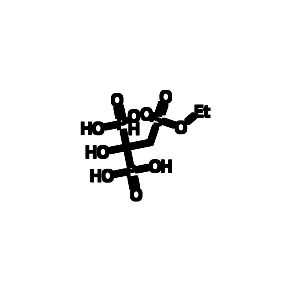 CCOS(=O)(=O)CC(O)(P(=O)(O)O)P(=O)(O)O